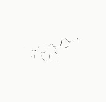 COc1ccc(-c2c[nH]c3c(C(=O)N(C)C)ccc(C)c3c2=O)cc1